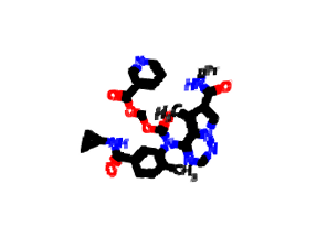 CCCNC(=O)C1CN2N=CN=C(N(C(=O)OCOC(=O)c3cccnc3)c3cc(C(=O)NC4CC4)ccc3C)C2=C1C